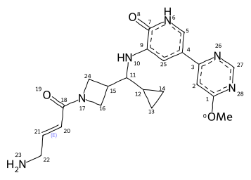 COc1cc(-c2c[nH]c(=O)c(NC(C3CC3)C3CN(C(=O)/C=C/CN)C3)c2)ncn1